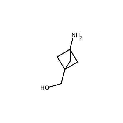 NC12CC(CO)(C1)C2